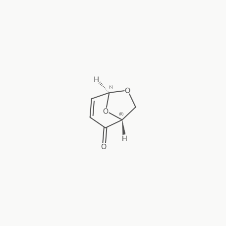 O=C1C=C[C@H]2OC[C@H]1O2